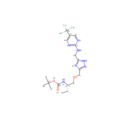 CC[C@@H](COCc1n[nH]c(CNc2ncc(C(F)(F)F)cn2)n1)NC(=O)OC(C)(C)C